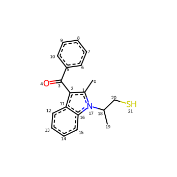 Cc1c(C(=O)c2ccccc2)c2ccccc2n1C(C)CS